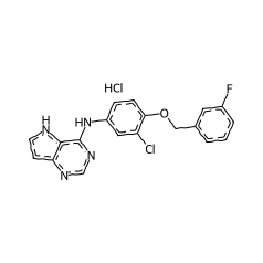 Cl.Fc1cccc(COc2ccc(Nc3ncnc4cc[nH]c34)cc2Cl)c1